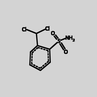 NS(=O)(=O)c1ccccc1C(Cl)Cl